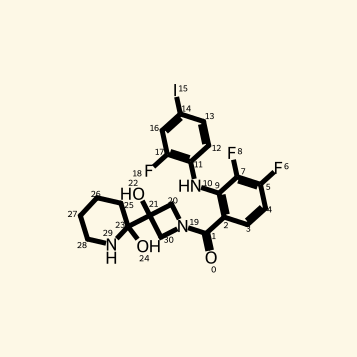 O=C(c1ccc(F)c(F)c1Nc1ccc(I)cc1F)N1CC(O)(C2(O)CCCCN2)C1